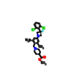 COC(=O)C1CCN(Cc2c(C)cc(N3CC(F)(c4c(Cl)cccc4Cl)C3)cc2C)CC1